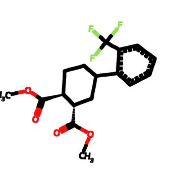 COC(=O)[C@H]1CCC(c2ccccc2C(F)(F)F)C[C@@H]1C(=O)OC